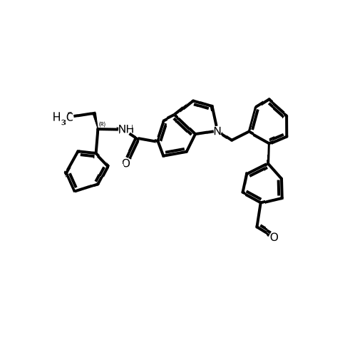 CC[C@@H](NC(=O)c1ccc2c(ccn2Cc2ccccc2-c2ccc(C=O)cc2)c1)c1ccccc1